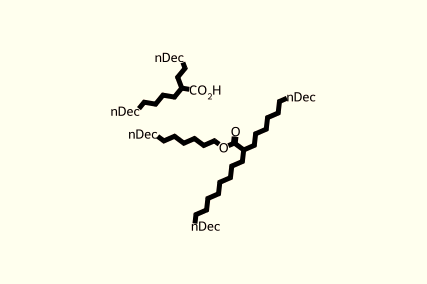 CCCCCCCCCCCCCCC(CCCCCCCCCCCC)C(=O)O.CCCCCCCCCCCCCCCCCCC(CCCCCCCCCCCCCCCC)C(=O)OCCCCCCCCCCCCCCCC